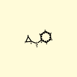 [c]1cccc(SC2CC2)c1